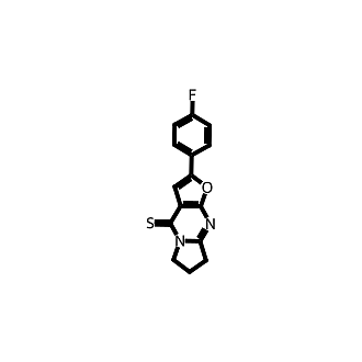 Fc1ccc(-c2cc3c(=S)n4c(nc3o2)CCC4)cc1